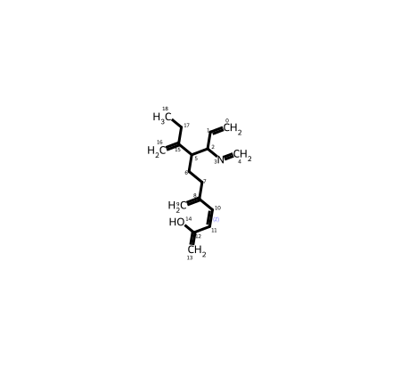 C=CC(N=C)C(CCC(=C)/C=C\C(=C)O)C(=C)CC